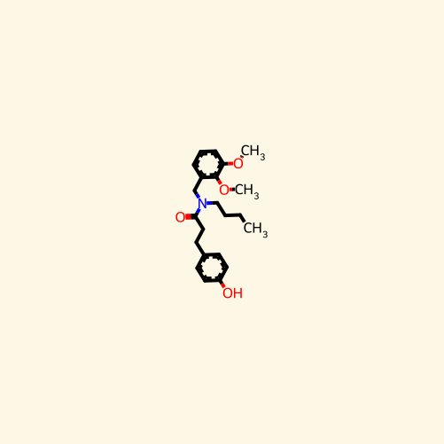 CCCCN(Cc1cccc(OC)c1OC)C(=O)CCc1ccc(O)cc1